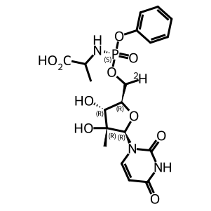 [2H]C(O[P@@](=O)(NC(C)C(=O)O)Oc1ccccc1)[C@H]1O[C@@H](n2ccc(=O)[nH]c2=O)[C@](C)(O)[C@@H]1O